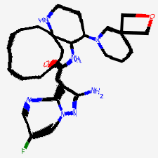 Nc1nn2cc(F)cnc2c1C(=O)NC1C(N2CCCC3(COC3)C2)CCNC12CCCCCCCC2